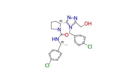 C[C@@H](NC(=O)N1CCC[C@@H]1c1nnc(CO)n1Cc1ccc(Cl)cc1)c1ccc(Cl)cc1